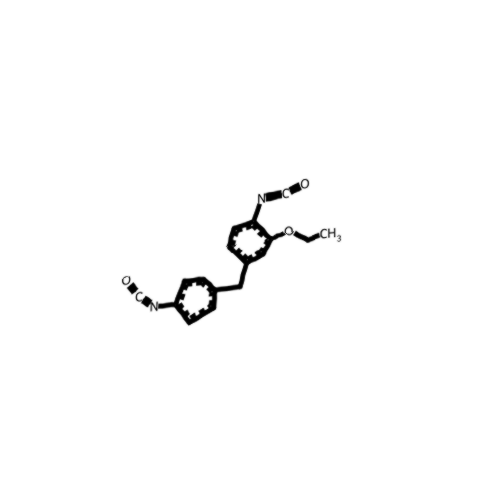 CCOc1cc(Cc2ccc(N=C=O)cc2)ccc1N=C=O